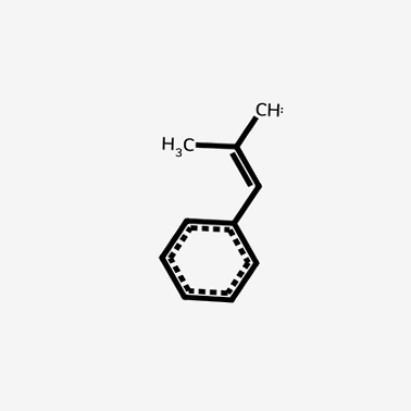 [CH]/C(C)=C/c1ccccc1